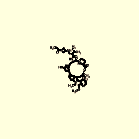 C=CC(=O)N1CC(NC[C@H](C(=O)N[C@H]2Cc3cc(O)cc(c3)-c3ccc4c(c3)c(c(-c3cccnc3COC)n4CC)CC(C)(C)COC(=O)[C@@]3(O)CCCN(N3)C2=O)C(C)C)C1